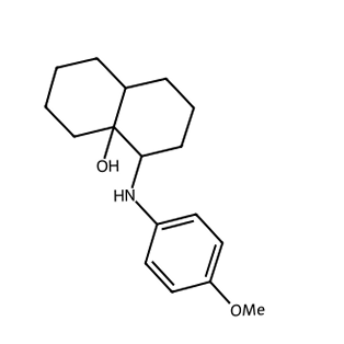 COc1ccc(NC2CCCC3CCCCC32O)cc1